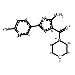 Cc1nc(-c2ccc(Cl)nc2)sc1C(=O)N1CCOCC1